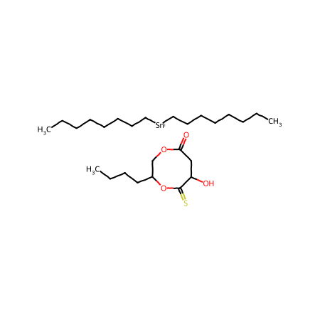 CCCCC1COC(=O)CC(O)C(=S)O1.CCCCCCC[CH2][Sn][CH2]CCCCCCC